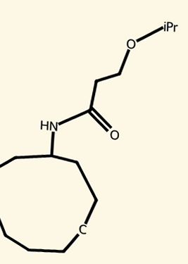 CC(C)OCCC(=O)NC1CCCCCCCCC1